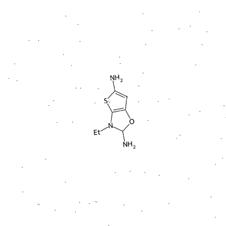 CCN1c2sc(N)cc2OC1N